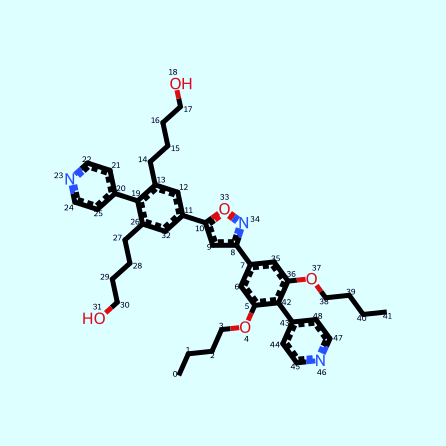 CCCCOc1cc(-c2cc(-c3cc(CCCCO)c(-c4ccncc4)c(CCCCO)c3)on2)cc(OCCCC)c1-c1ccncc1